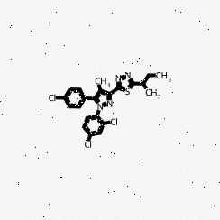 CCC(C)c1nnc(-c2nn(-c3ccc(Cl)cc3Cl)c(-c3ccc(Cl)cc3)c2C)s1